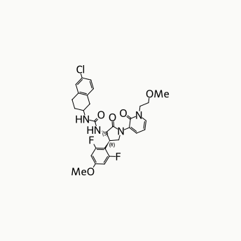 COCCn1cccc(N2C[C@@H](c3c(F)cc(OC)cc3F)[C@H](NC(=O)NC3CCc4cc(Cl)ccc4C3)C2=O)c1=O